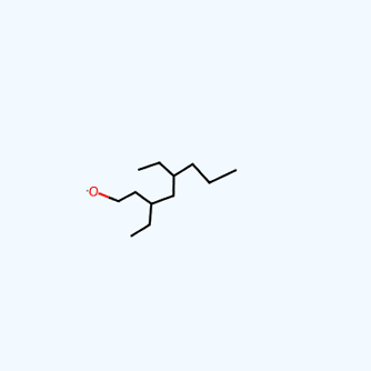 CCCC(CC)CC(CC)CC[O]